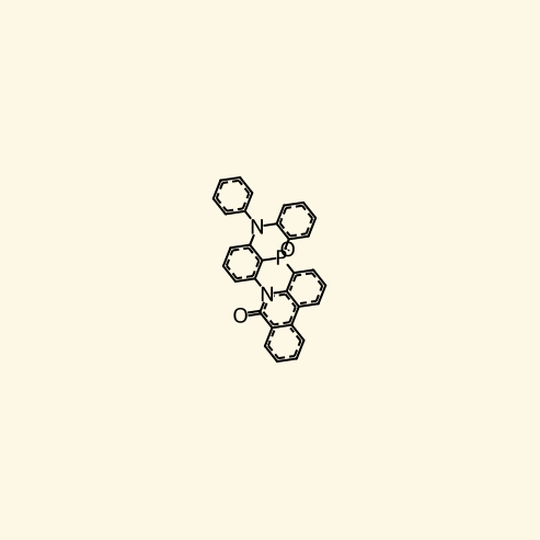 O=c1c2ccccc2c2cccc3c2n1-c1cccc2c1P3(=O)c1ccccc1N2c1ccccc1